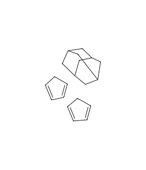 C1=CCC=C1.C1=CCC=C1.C1C2CC3CC1CC(C2)C3